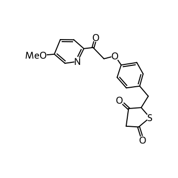 COc1ccc(C(=O)COc2ccc(CC3SC(=O)CC3=O)cc2)nc1